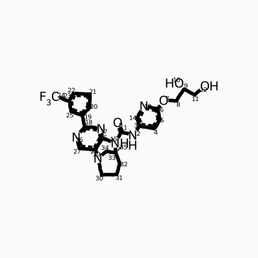 O=C(Nc1ccc(OCC(O)CO)nc1)N1c2nc(-c3cccc(C(F)(F)F)c3)ncc2N2CCC[C@H]1C2